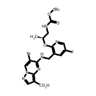 C[C@@H](CNC(=O)OC(C)(C)C)Oc1ncc(F)cc1CNc1nc2c(C(=O)O)cnn2cc1Br